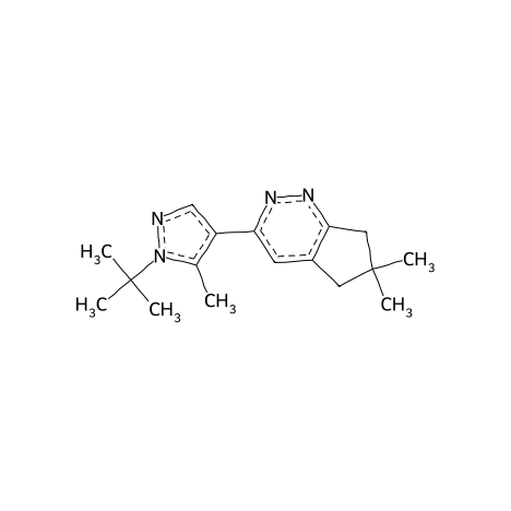 Cc1c(-c2cc3c(nn2)CC(C)(C)C3)cnn1C(C)(C)C